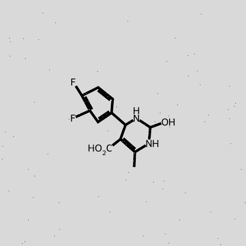 CC1=C(C(=O)O)C(c2ccc(F)c(F)c2)NC(O)N1